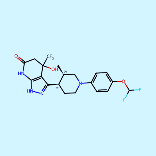 C[C@H]1CN(c2ccc(OC(F)F)cc2)CC[C@H]1c1n[nH]c2c1C(O)(C(F)(F)F)CC(=O)N2